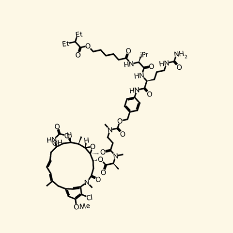 CCC(CC)C(=O)OCCCCCC(=O)N[C@H](C(=O)N[C@@H](CCCNC(N)=O)C(=O)Nc1ccc(COC(=O)N(C)CCC(=O)N(C)[C@@H](C)C(=O)O[C@@H]2CC(=O)N(C)c3cc(cc(OC)c3Cl)C/C(C)=C/C=C/C[C@@]3(O)C[C@H](OC(=O)N3)[C@@H](C)[C@@H]3O[C@@]23C)cc1)C(C)C